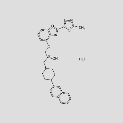 Cc1nnc(-c2cc3c(OC[C@@H](O)CN4CCC(c5ccc6ccccc6c5)CC4)cccc3o2)o1.Cl